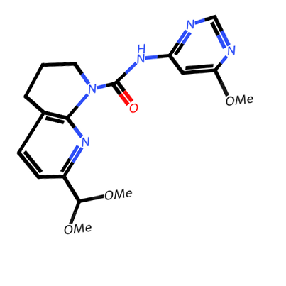 COc1cc(NC(=O)N2CCCc3ccc(C(OC)OC)nc32)ncn1